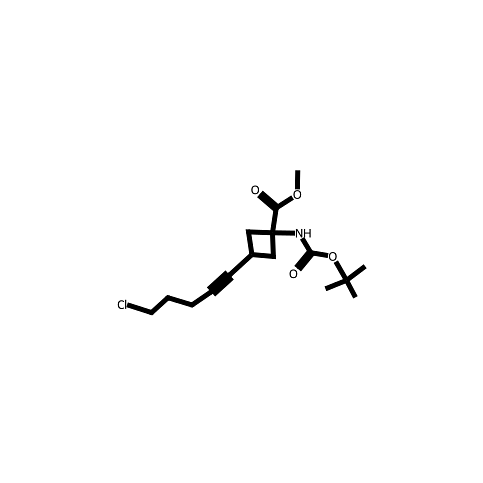 COC(=O)C1(NC(=O)OC(C)(C)C)CC(C#CCCCCl)C1